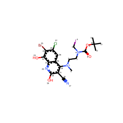 CN(CCN(CI)C(=O)OC(C)(C)C)c1c(C#N)c(O)nc2c(O)c(Br)c(Cl)cc12